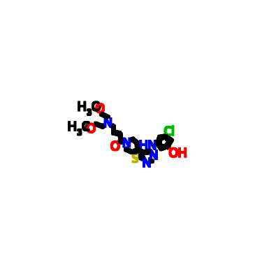 COCCN(CC=CC(=O)N1CCc2c(sc3ncnc(Nc4cc(O)cc(Cl)c4)c23)C1)CCOC